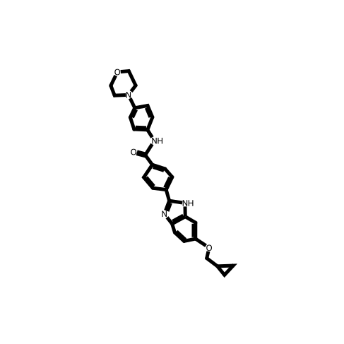 O=C(Nc1ccc(N2CCOCC2)cc1)c1ccc(-c2nc3ccc(OCC4CC4)cc3[nH]2)cc1